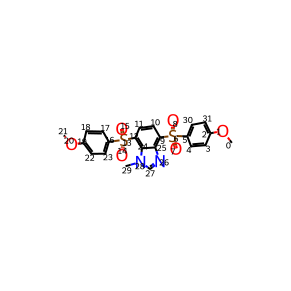 COc1ccc(S(=O)(=O)c2ccc(S(=O)(=O)c3ccc(OC)cc3)c3c2ncn3C)cc1